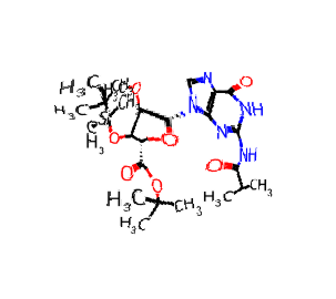 CO[C@@H]1C(O[Si](C)(C)C(C)(C)C)[C@@H](C(=O)OC(C)(C)C)O[C@H]1n1cnc2c(=O)[nH]c(NC(=O)C(C)C)nc21